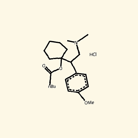 CCCCC(=O)OC1(C(CN(C)C)c2ccc(OC)cc2)CCCCC1.Cl